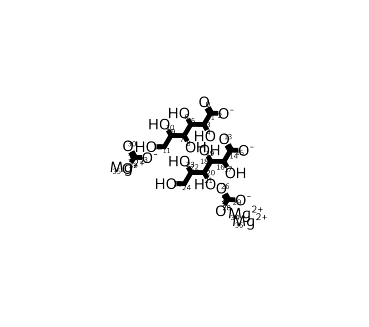 O=C([O-])C(O)C(O)C(O)C(O)CO.O=C([O-])C(O)C(O)C(O)C(O)CO.O=C([O-])[O-].O=C([O-])[O-].[Mg+2].[Mg+2].[Mg+2]